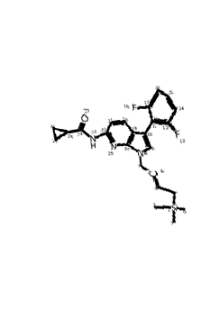 C[Si](C)(C)CCOCn1cc(-c2c(F)cccc2F)c2ccc(NC(=O)C3CC3)nc21